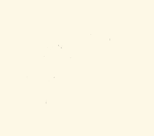 O=[N+]([O-])C(OS(=O)(=O)C(F)(F)F)c1ccccc1